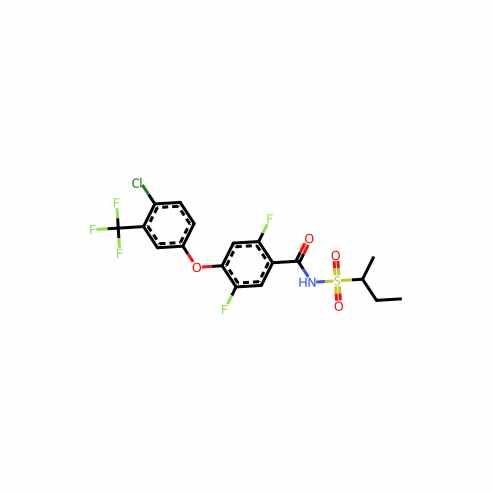 CCC(C)S(=O)(=O)NC(=O)c1cc(F)c(Oc2ccc(Cl)c(C(F)(F)F)c2)cc1F